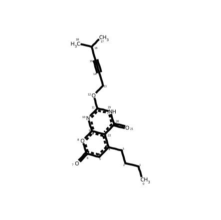 CCCCc1cc(=O)oc2nc(OCC#CC(C)C)[nH]c(=O)c12